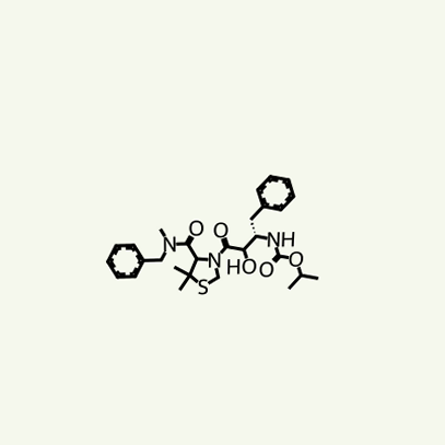 CC(C)OC(=O)N[C@@H](Cc1ccccc1)C(O)C(=O)N1CSC(C)(C)C1C(=O)N(C)Cc1ccccc1